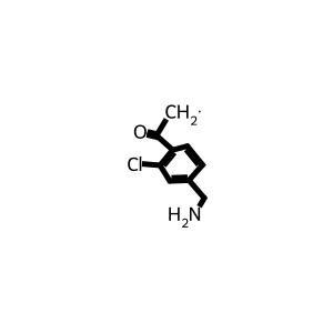 [CH2]C(=O)c1ccc(CN)cc1Cl